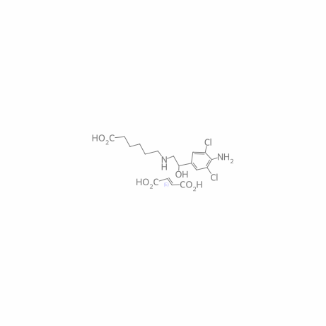 Nc1c(Cl)cc(C(O)CNCCCCCC(=O)O)cc1Cl.O=C(O)/C=C/C(=O)O